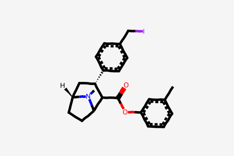 Cc1cccc(OC(=O)C2C3CC[C@H](C[C@@H]2c2ccc(CI)cc2)N3C)c1